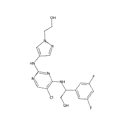 OCCn1cc(Nc2ncc(Cl)c(NC(CO)c3cc(F)cc(F)c3)n2)cn1